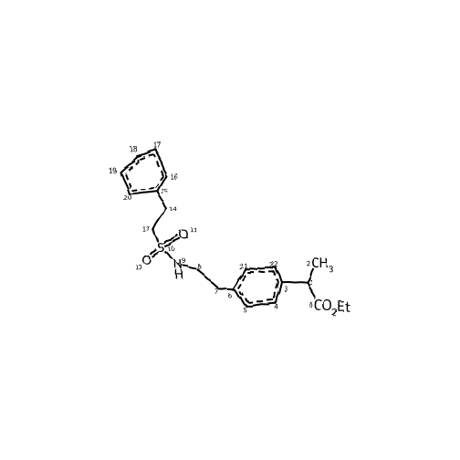 CCOC(=O)C(C)c1ccc(CCNS(=O)(=O)CCc2ccccc2)cc1